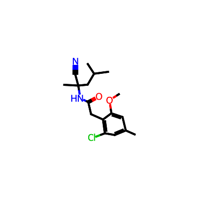 COc1cc(C)cc(Cl)c1CC(=O)NC(C)(C#N)CC(C)C